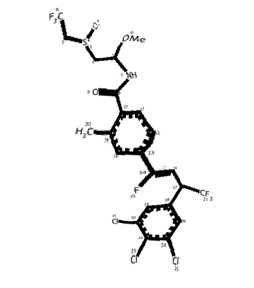 COC(C[S+]([O-])CC(F)(F)F)NC(=O)c1ccc(/C(F)=C/C(c2cc(Cl)c(Cl)c(Cl)c2)C(F)(F)F)cc1C